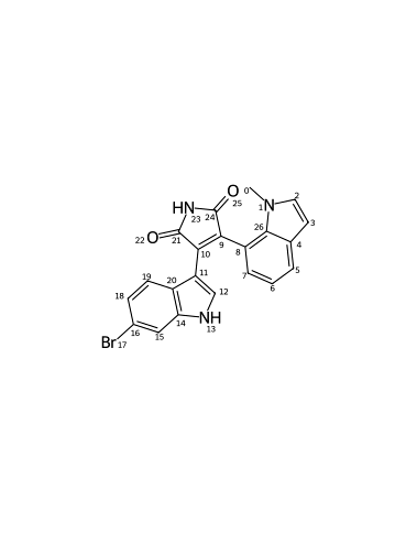 Cn1ccc2cccc(C3=C(c4c[nH]c5cc(Br)ccc45)C(=O)NC3=O)c21